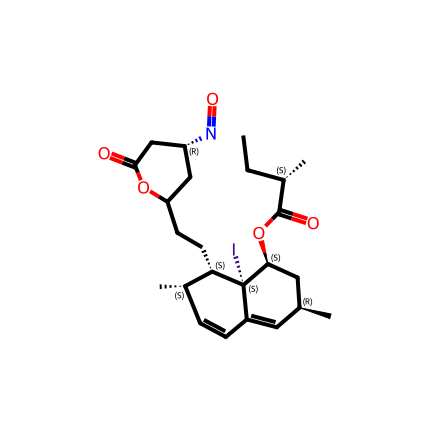 CC[C@H](C)C(=O)O[C@H]1C[C@@H](C)C=C2C=C[C@H](C)[C@H](CCC3C[C@@H](N=O)CC(=O)O3)[C@]21I